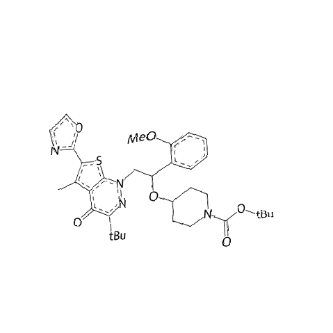 COc1ccccc1C(Cn1nc(C(C)(C)C)c(=O)c2c(C)c(-c3ncco3)sc21)OC1CCN(C(=O)OC(C)(C)C)CC1